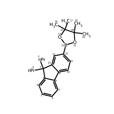 CCCC1(CCC)c2ccccc2-c2ccc(B3OC(C)(C)C(C)(C)O3)cc21